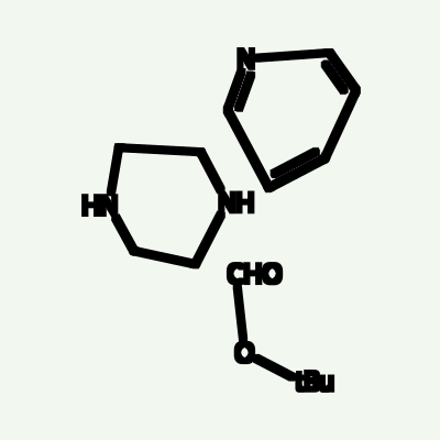 C1CNCCN1.CC(C)(C)OC=O.c1ccncc1